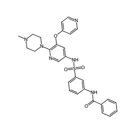 CN1CCN(c2ncc(NS(=O)(=O)c3cccc(NC(=O)c4ccccc4)c3)cc2Oc2ccncc2)CC1